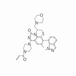 C=CC(=O)N1CCN(c2nc(=O)n3c4c(c(-c5cccc6cnn(C)c56)c(C)cc24)SCC3CN2CCOCC2)CC1